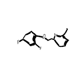 Cc1cccc(COc2ccc(F)cc2F)n1